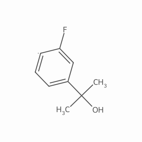 CC(C)(O)c1cc[c]c(F)c1